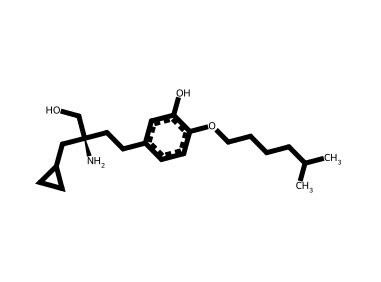 CC(C)CCCCOc1ccc(CC[C@@](N)(CO)CC2CC2)cc1O